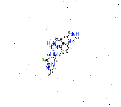 Cc1cn2cc(NCc3ccc(N4CCNCC4)c(/C=C\N)c3N)cc(F)c2n1